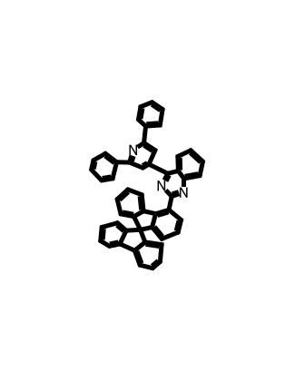 c1ccc(-c2cc(-c3nc(-c4cccc5c4-c4ccccc4C54c5ccccc5-c5ccccc54)nc4ccccc34)cc(-c3ccccc3)n2)cc1